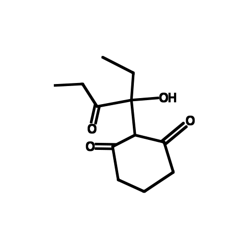 CCC(=O)C(O)(CC)C1C(=O)CCCC1=O